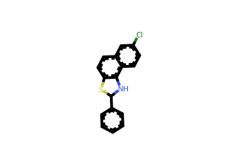 Clc1ccc2c3c(ccc2c1)SC(c1ccccc1)N3